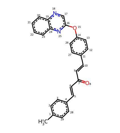 Cc1ccc(C=CC(=O)C=Cc2ccc(Oc3cnc4ccccc4n3)cc2)cc1